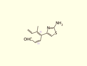 C=C/C(C)=C(\C=C/C=O)c1csc(N)n1